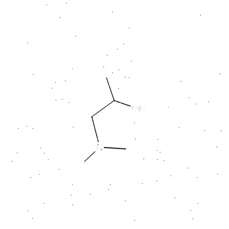 CN(C)CC([O])O